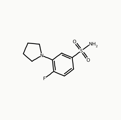 NS(=O)(=O)c1ccc(F)c(N2CCCC2)c1